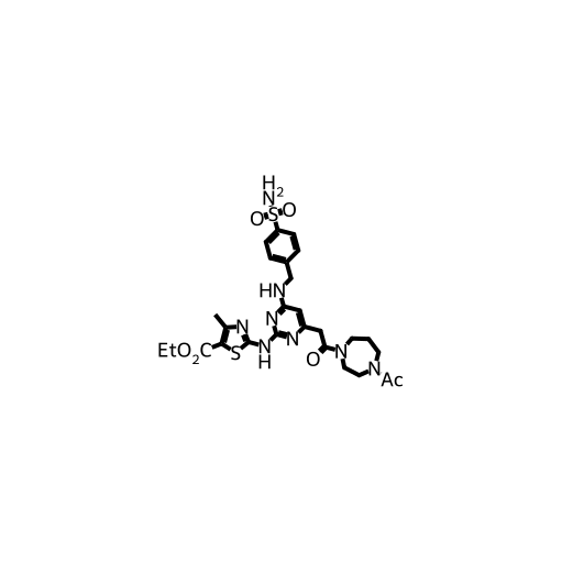 CCOC(=O)c1sc(Nc2nc(CC(=O)N3CCCN(C(C)=O)CC3)cc(NCc3ccc(S(N)(=O)=O)cc3)n2)nc1C